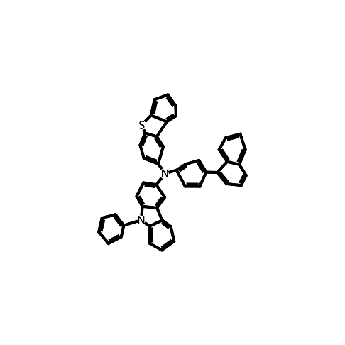 c1ccc(-n2c3ccccc3c3cc(N(c4ccc(-c5cccc6ccccc56)cc4)c4ccc5sc6ccccc6c5c4)ccc32)cc1